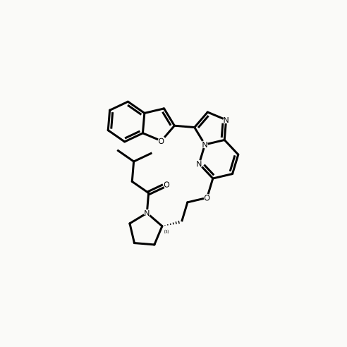 CC(C)CC(=O)N1CCC[C@H]1CCOc1ccc2ncc(-c3cc4ccccc4o3)n2n1